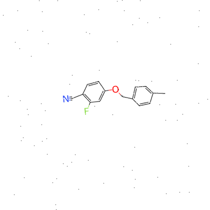 Cc1ccc(COc2ccc(C#N)c(F)c2)cc1